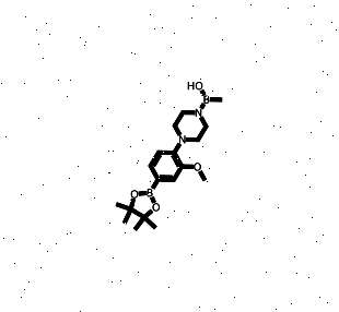 COc1cc(B2OC(C)(C)C(C)(C)O2)ccc1N1CCN(B(C)O)CC1